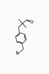 CC(C)(C=O)Cc1ccc(CBr)cc1